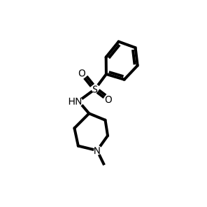 CN1CCC(NS(=O)(=O)c2ccccc2)CC1